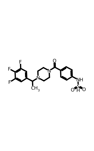 CC(c1cc(F)c(F)c(F)c1)N1CCN(C(=O)c2ccc(N[SH](=O)=O)cc2)CC1